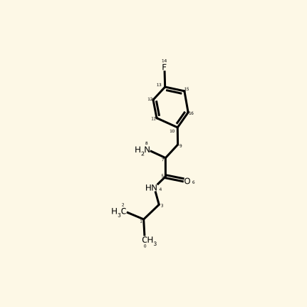 CC(C)CNC(=O)C(N)Cc1ccc(F)cc1